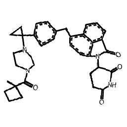 CC1(C(=O)N2CCN(C3(c4ccc(Cc5ccc6c7c(cccc57)C(=O)N6C5CCC(=O)NC5=O)cc4)CC3)CC2)CCC1